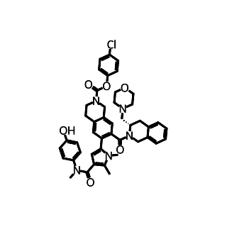 Cc1c(C(=O)N(C)c2ccc(O)cc2)cc(-c2cc3c(cc2C(=O)N2Cc4ccccc4C[C@H]2CN2CCOCC2)CN(C(=O)Oc2ccc(Cl)cc2)CC3)n1C